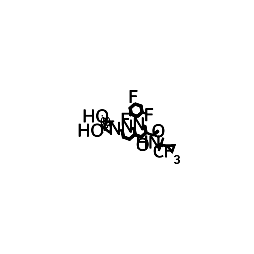 CC(NC(=O)c1cn(-c2c(F)cc(F)cc2F)c2nc(N3C[C@@H](O)[C@H](O)C3)ccc2c1=O)(C1CC1)C(F)(F)F